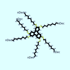 CCCCCCCCCCCCCCCCCCSc1cc2c3cc(SCCCCCCCCCCCCCCCCCC)c(SCCCCCCCCCCCCCCCCCC)cc3c3cc(SCCCCCCCCCCCCCCCCCC)c(SCCCCCCCCCCCCCCCCCC)cc3c2cc1SCCCCCCCCCCCCCCCCCC